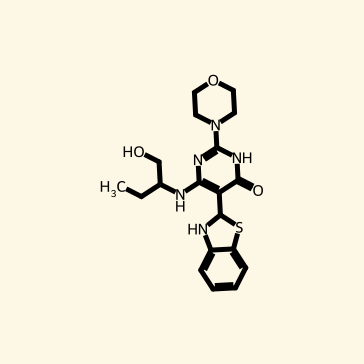 CCC(CO)Nc1nc(N2CCOCC2)[nH]c(=O)c1C1Nc2ccccc2S1